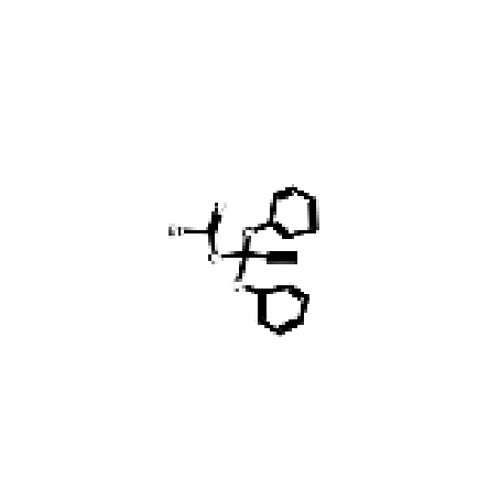 C#CC(OC(=O)CC)(Oc1ccccc1)Oc1ccccc1